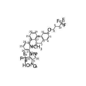 CC(Cc1ccc(OCCCC(F)(F)F)cc1)c1ccccc1-c1cccc(-n2ncc(C(=O)O)c2C(F)(F)F)n1